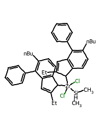 CCCCc1ccc2c(c1-c1ccccc1)C=C(CC)[CH]2[Zr]([Cl])([Cl])([CH]1C(CC)=Cc2c1ccc(CCCC)c2-c1ccccc1)[SiH](C)C